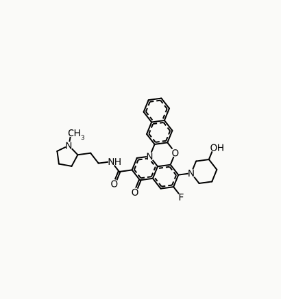 CN1CCCC1CCNC(=O)c1cn2c3c(c(N4CCCC(O)C4)c(F)cc3c1=O)Oc1cc3ccccc3cc1-2